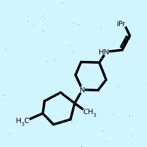 CC(C)/C=C\NC1CCN(C2(C)CCC(C)CC2)CC1